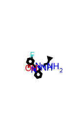 N[C@H](CNc1nc(-c2cc(F)ccc2O)nc2ccccc12)C1CC1